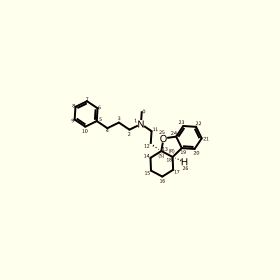 CN(CCCc1ccccc1)CC[C@@]12CCCC[C@@H]1c1ccccc1O2